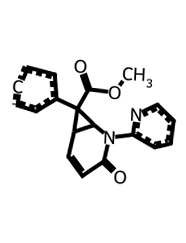 COC(=O)C1(c2ccccc2)C2C=CC(=O)N(c3ccccn3)C21